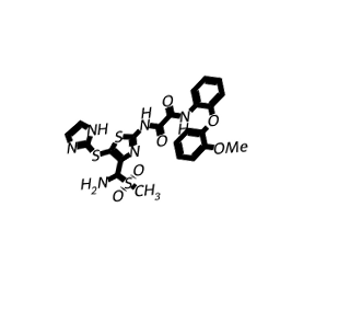 COc1ccccc1Oc1ccccc1NC(=O)C(=O)Nc1nc(C(N)S(C)(=O)=O)c(Sc2ncc[nH]2)s1